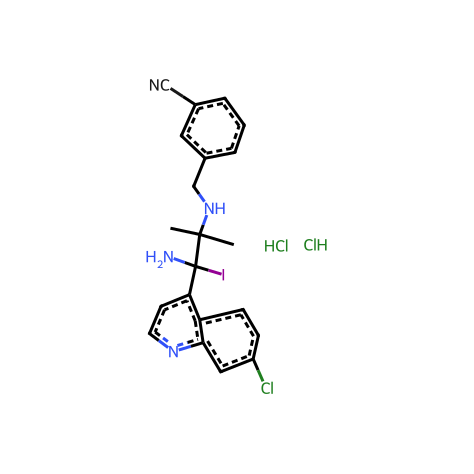 CC(C)(NCc1cccc(C#N)c1)C(N)(I)c1ccnc2cc(Cl)ccc12.Cl.Cl